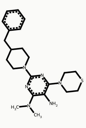 CN(C)c1nc(N2CCC(Cc3ccccc3)CC2)nc(N2CCSCC2)c1N